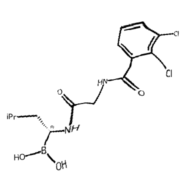 CC(C)C[C@H](NC(=O)CNC(=O)c1cccc(Cl)c1Cl)B(O)O